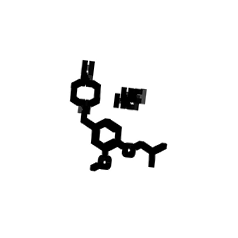 COc1cc(CN2CCNCC2)ccc1OCC(C)C.Cl.Cl